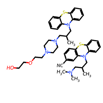 CC(CN(C)C)CN1c2ccccc2Sc2ccc(C#N)cc21.CC(CN1CCN(CCOCCO)CC1)CN1c2ccccc2Sc2ccccc21